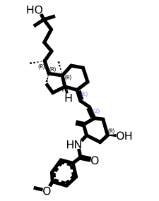 C=C1/C(=C\C=C2/CCC[C@]3(C)[C@@H]([C@H](C)CCCC(C)(C)O)CC[C@@H]23)C[C@@H](O)CC1NC(=O)c1ccc(OC)cc1